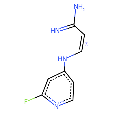 N=C(N)/C=C\Nc1ccnc(F)c1